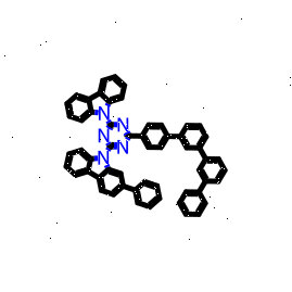 c1ccc(-c2cccc(-c3cccc(-c4ccc(-c5nc(-n6c7ccccc7c7ccccc76)nc(-n6c7ccccc7c7ccc(-c8ccccc8)cc76)n5)cc4)c3)c2)cc1